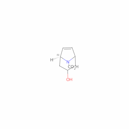 O=C(O)N1C2C=C[C@@H]1CC(O)C2